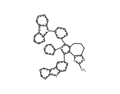 Cc1nc2c(o1)-c1c(c(-c3cccc(-n4c5ccccc5c5ccccc54)c3)n(-c3ccccc3)c1-c1ccc3sc4ccccc4c3c1)CCC2